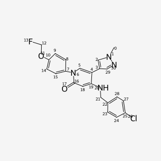 Cn1cc(-c2cn(-c3ccc(OCF)cc3)c(=O)cc2NCc2ccc(Cl)cc2)cn1